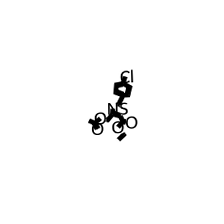 CCOC(=O)c1sc(-c2ccc(Cl)cc2)nc1COC(C)=O